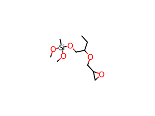 CCC(CO[Si](C)(OC)OC)OCC1CO1